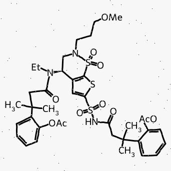 CCN(C(=O)CC(C)(C)c1ccccc1OC(C)=O)[C@H]1CN(CCCOC)S(=O)(=O)c2sc(S(=O)(=O)NC(=O)CC(C)(C)c3ccccc3OC(C)=O)cc21